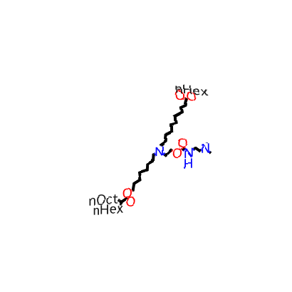 CCCCCCCCC(CCCCCC)C(=O)OCCCCCCCCN(CCCCCCCCCCC(=O)OCCCCCC)CCOC(=O)NCCN(C)C